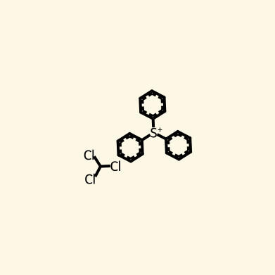 ClC(Cl)Cl.c1ccc([S+](c2ccccc2)c2ccccc2)cc1